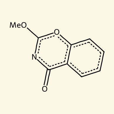 COc1nc(=O)c2ccccc2o1